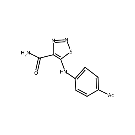 CC(=O)c1ccc(Nc2snnc2C(N)=O)cc1